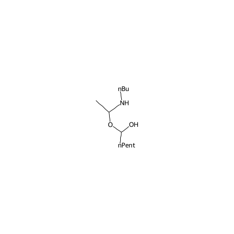 CCCCCC(O)OC(C)NCCCC